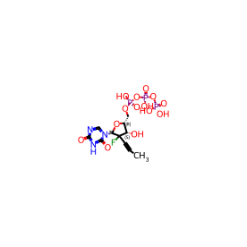 CC#CC1(F)[C@@H](O)[C@@H](COP(=O)(O)OP(=O)(O)OP(=O)(O)O)O[C@H]1n1cnc(=O)[nH]c1=O